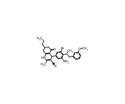 CCCC1CC(=O)C2=C(C1)NC(C)=C(C#N)C2c1cc(N)c(N(C)Cc2cccc(OC)c2)c(Br)c1